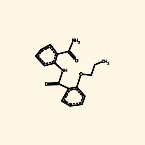 CCCOc1ccccc1C(=O)Nc1ccccc1C(N)=O